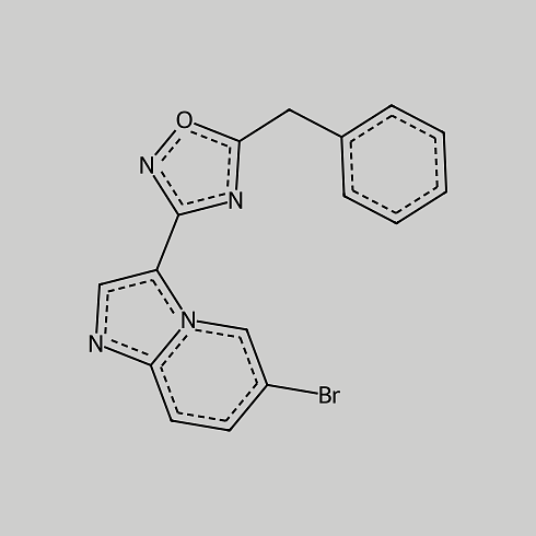 Brc1ccc2ncc(-c3noc(Cc4ccccc4)n3)n2c1